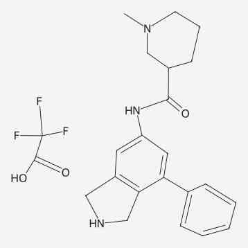 CN1CCCC(C(=O)Nc2cc3c(c(-c4ccccc4)c2)CNC3)C1.O=C(O)C(F)(F)F